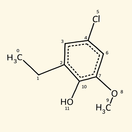 CCc1cc(Cl)cc(OC)c1O